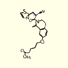 CC1c2cc(OCCCCC(=O)O)ccc2CCN1C(=O)/C(C#N)=C\c1nccs1